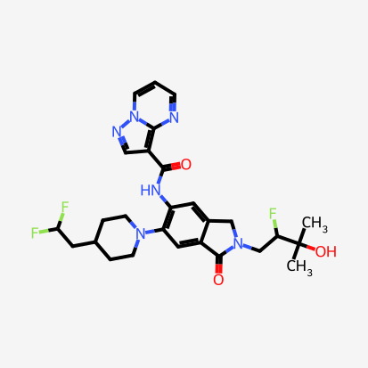 CC(C)(O)C(F)CN1Cc2cc(NC(=O)c3cnn4cccnc34)c(N3CCC(CC(F)F)CC3)cc2C1=O